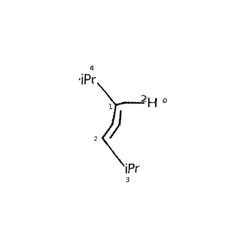 [2H]C(=CC(C)C)[C](C)C